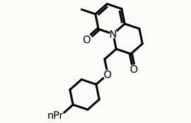 CCCC1CCC(OCC2C(=O)CCc3ccc(C)c(=O)n32)CC1